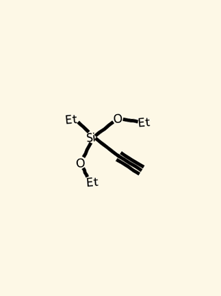 C#C[Si](CC)(OCC)OCC